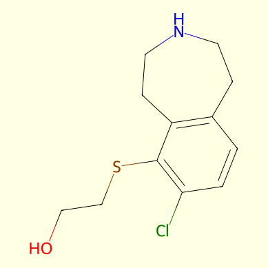 OCCSc1c(Cl)ccc2c1CCNCC2